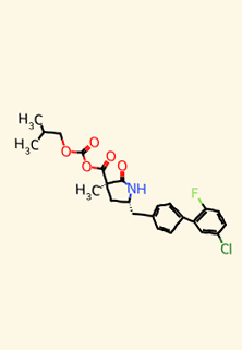 CC(C)COC(=O)OC(=O)[C@]1(C)C[C@@H](Cc2ccc(-c3cc(Cl)ccc3F)cc2)NC1=O